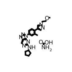 COCCn1cc(-c2ccc(-n3nnc4cnc(NC5CCCC5)nc43)cc2C)cn1.NC(=O)O